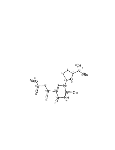 CCC(C)C(C)C1CCC(n2cc(C(=O)CC(=O)OC)c(=O)[nH]c2=O)O1